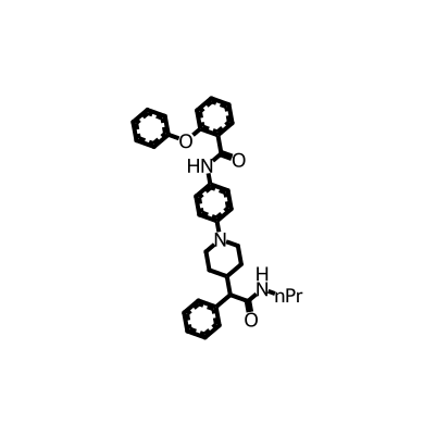 CCCNC(=O)C(c1ccccc1)C1CCN(c2ccc(NC(=O)c3ccccc3Oc3ccccc3)cc2)CC1